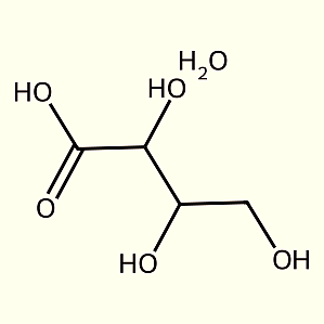 O.O=C(O)C(O)C(O)CO